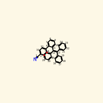 N#Cc1ccc(-c2ccccc2C(=C(c2ccccc2)c2ccccc2)c2ccccc2)cc1